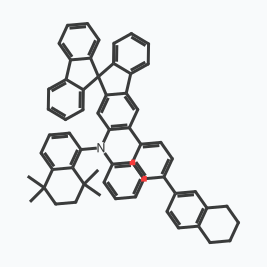 CC1(C)CCC(C)(C)c2c(N(c3ccccc3)c3cc4c(cc3-c3ccc(-c5ccc6c(c5)CCCC6)cc3)-c3ccccc3C43c4ccccc4-c4ccccc43)cccc21